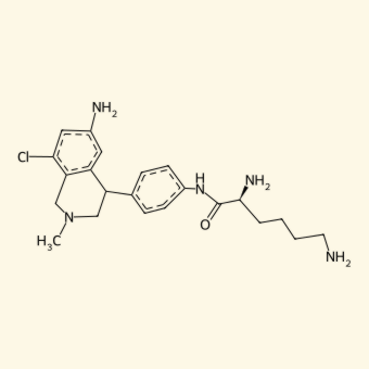 CN1Cc2c(Cl)cc(N)cc2C(c2ccc(NC(=O)[C@@H](N)CCCCN)cc2)C1